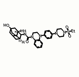 CCS(=O)(=O)N1CCN(c2ccc(N3CCN(C(=O)NC4[C@@H]5CC6C[C@H]4CC(O)(C6)C5)c4ccccc43)cc2)CC1